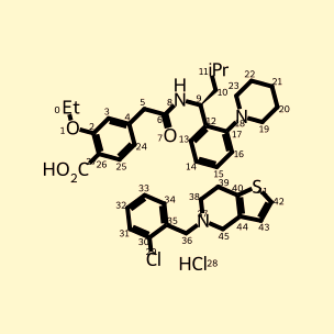 CCOc1cc(CC(=O)N[C@@H](CC(C)C)c2ccccc2N2CCCCC2)ccc1C(=O)O.Cl.Clc1ccccc1CN1CCc2sccc2C1